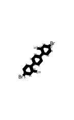 Brc1ccc(-c2ccc(-c3ccc(Br)cc3I)cc2)c(I)c1